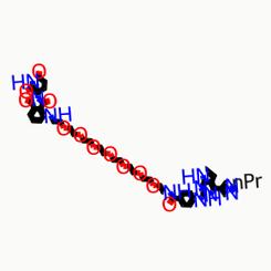 CCCn1cc(-c2nc(Nc3ccc(C(=O)NCCOCCOCCOCCOCCOCCOCCOCCNc4cccc5c4C(=O)N(C4CCC(=O)NC4=O)C5=O)cc3)nc3[nH]ccc23)cn1